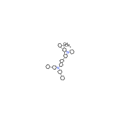 CC1(C)c2ccccc2-c2cc3c4cc(-c5ccc6cc(N(c7ccc(-c8ccccc8)cc7)c7ccc(-c8ccccc8)cc7)ccc6c5)ccc4n(-c4ccccc4)c3cc21